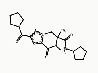 CN1C(=O)c2cc(C(=O)N3CCCC3)nn2CC1(C)C(=O)NC1CCCC1